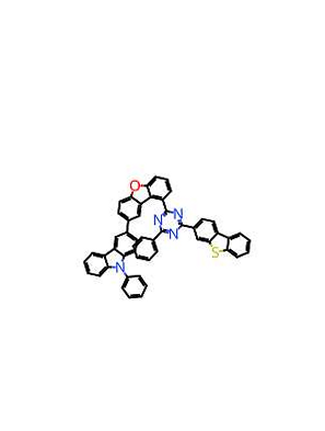 c1ccc(-c2nc(-c3ccc4c(c3)sc3ccccc34)nc(-c3cccc4oc5ccc(-c6ccc7c(c6)c6ccccc6n7-c6ccccc6)cc5c34)n2)cc1